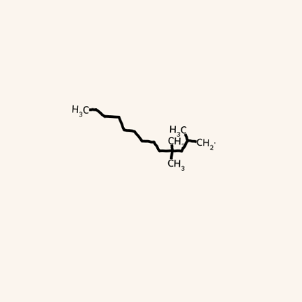 [CH2]C(C)CC(C)(C)CCCCCCCCC